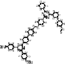 C=Cc1ccc(-c2cccc(-c3nc(-c4ccccc4)nc(-c4ccc(/C=C/c5ccc(-c6ccc(-c7nc(-c8ccc(C(C)(C)C)cc8)nc(-c8ccc(C(C)(C)C)cc8)n7)cc6)cc5)cc4)n3)c2)cc1